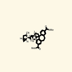 CNC(=O)c1ccc2c(c1)CCc1cc(C(=O)NC)ccc1C2(C[C@@H](C)NCC(=O)N1[C@H](C#N)C[C@@H]2C[C@@H]21)c1n[nH]c(=O)[nH]1